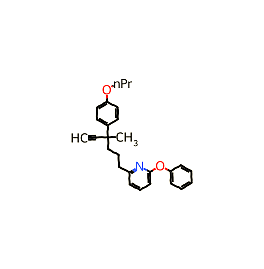 C#CC(C)(CCCc1cccc(Oc2ccccc2)n1)c1ccc(OCCC)cc1